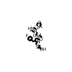 C[C@@H]1CN(CC(=O)N2c3cc(Cc4ccc(F)cc4)c(CN4CC(O)C4)nc3OC[C@@H]2C)[C@@H](CN2[C@H](C)COC[C@H]2C)CN1